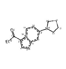 CCC(=O)c1cnc2cc(N3CCCC3)ccn12